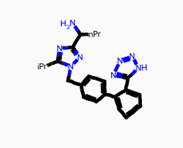 CCCC(N)c1nc(C(C)C)n(Cc2ccc(-c3ccccc3-c3nnn[nH]3)cc2)n1